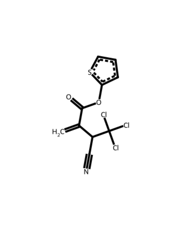 C=C(C(=O)Oc1cccs1)C(C#N)C(Cl)(Cl)Cl